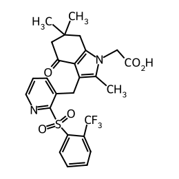 Cc1c(Cc2cccnc2S(=O)(=O)c2ccccc2C(F)(F)F)c2c(n1CC(=O)O)CC(C)(C)CC2=O